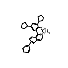 Cc1c(-c2c3ccc(-c4ccccc4)cc3cc[n+]2C)cc(C2CCCC2)cc1C1CCCC1